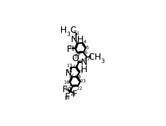 CCNc1ccc([C@@H](C)NC(=O)c2cnc3cc(C(F)(F)F)ccc3c2)cc1F